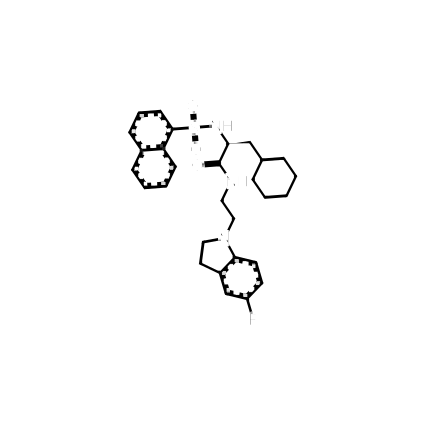 O=C(NCCN1CCc2cc(F)ccc21)[C@H](CC1CCCCC1)NS(=O)(=O)c1cccc2ccccc12